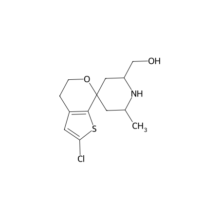 CC1CC2(CC(CO)N1)OCCc1cc(Cl)sc12